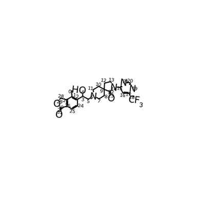 Cc1c(C(O)CN2CCC3(CC2)CCN(c2cc(C(F)(F)F)ncn2)C3=O)ccc2c1COC2=O